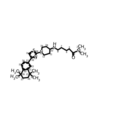 CN(C)C(=O)CCCCNC1CCN(c2nc(-c3ccc4c(c3)C(C)(C)CCC4(C)C)cs2)CC1